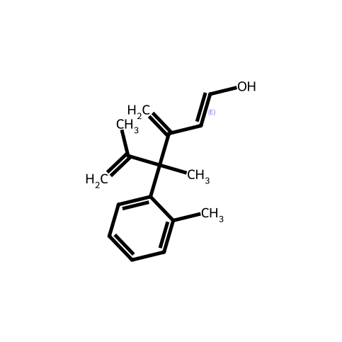 C=C(C)C(C)(C(=C)/C=C/O)c1ccccc1C